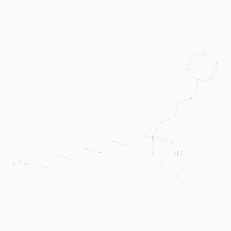 CCCCCCCCCCCCCCCCCOP(=O)(OCCOc1ccccc1)OP(=O)(O)O